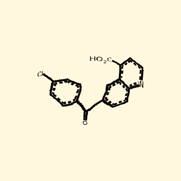 O=C(c1ccc(Cl)cc1)c1ccc2nccc(C(=O)O)c2c1